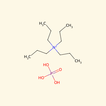 CCC[N+](CCC)(CCC)CCC.O=P(O)(O)O